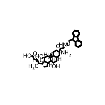 C[C@H](CCC(=O)O)[C@H]1CC[C@H]2[C@@H]3[C@H](O)C[C@@H]4C[C@](N)(C(=O)CNOCC5c6ccccc6-c6ccccc65)CC[C@]4(C)[C@H]3C[C@H](O)[C@]12C